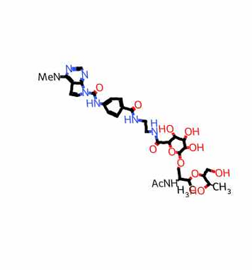 CNc1ncnc2c1ccn2C(=O)Nc1ccc(C(=O)NCCNC(=O)C2OC(OC[C@H](NC(C)=O)C(C)OC(CO)[C@H](C)O)C(O)C(O)C2O)cc1